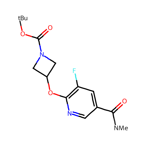 CNC(=O)c1cnc(OC2CN(C(=O)OC(C)(C)C)C2)c(F)c1